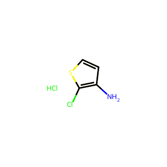 Cl.Nc1ccsc1Cl